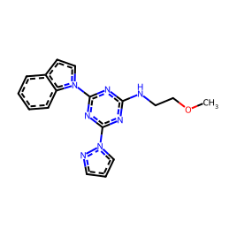 COCCNc1nc(-n2cccn2)nc(-n2ccc3ccccc32)n1